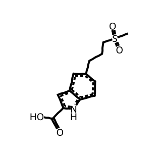 CS(=O)(=O)CCCc1ccc2[nH]c(C(=O)O)cc2c1